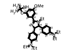 CCN(CC)c1ccc(C2N=C(c3cc(OC)cc(OC(N)(N)N)c3)N(CC)C2c2ccc(N(CC)CC)cc2)cc1